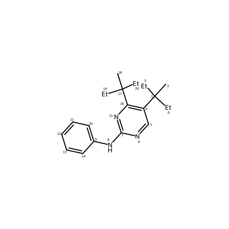 CCC(C)(CC)c1cnc(Nc2ccccc2)nc1C(C)(CC)CC